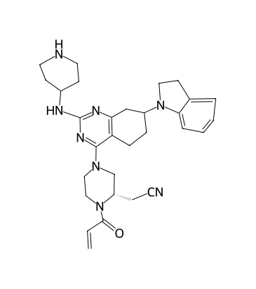 C=CC(=O)N1CCN(c2nc(NC3CCNCC3)nc3c2CCC(N2CCc4ccccc42)C3)C[C@@H]1CC#N